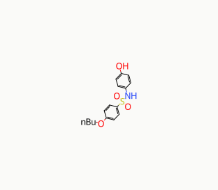 CCCCOc1ccc(S(=O)(=O)Nc2ccc(O)cc2)cc1